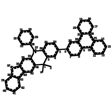 CC1(C)c2cc(-c3ccc4c5ccccc5c5ccccc5c4c3)ccc2N(c2ccccc2)c2cc3sc4ccccc4c3cc21